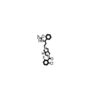 COC(=O)NC(CCN1CC2CN(C(=O)c3c(F)cccc3Cl)C[C@@H]2C1)c1ccccc1